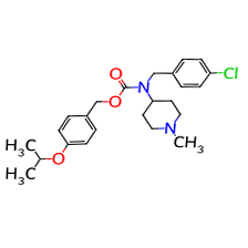 CC(C)Oc1ccc(COC(=O)N(Cc2ccc(Cl)cc2)C2CCN(C)CC2)cc1